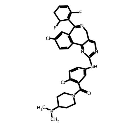 CN(C)C1CCN(C(=O)c2cc(Nc3ncc4c(n3)-c3ccc(Cl)cc3C(C3=C(F)C=CCC3F)=NC4)ccc2Cl)CC1